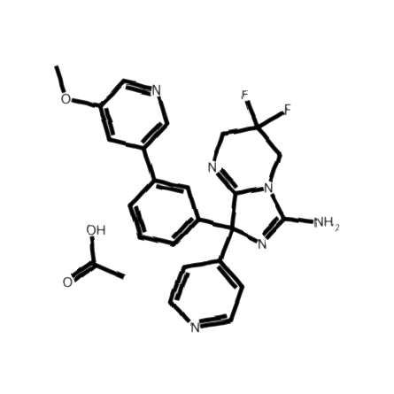 CC(=O)O.COc1cncc(-c2cccc(C3(c4ccncc4)N=C(N)N4CC(F)(F)CN=C43)c2)c1